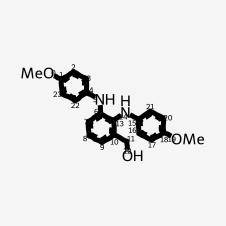 COc1ccc(Nc2cccc(CO)c2Nc2ccc(OC)cc2)cc1